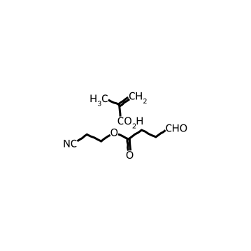 C=C(C)C(=O)O.N#CCCOC(=O)CCC=O